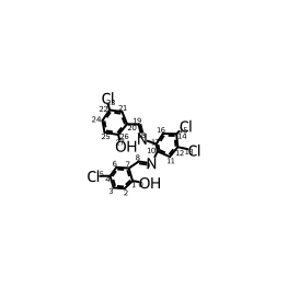 Oc1ccc(Cl)cc1C=Nc1cc(Cl)c(Cl)cc1N=Cc1cc(Cl)ccc1O